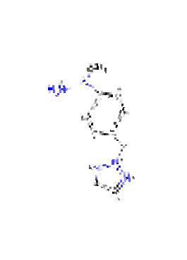 CN(N)c1ccc(Cn2nccn2)cc1